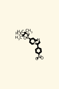 CC1(C)OB(c2ccn3c(-c4ccc([N+](=O)[O-])cc4)cnc3c2)OC1(C)C